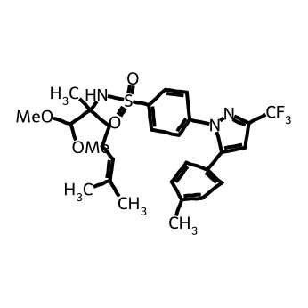 COC(OC)C(C)(CCC=C(C)C)NS(=O)(=O)c1ccc(-n2nc(C(F)(F)F)cc2-c2ccc(C)cc2)cc1